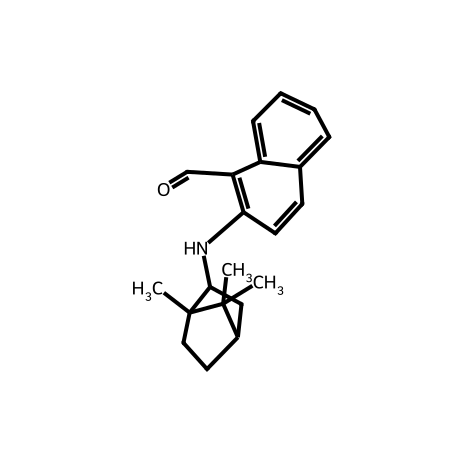 CC1(C)C2CCC1(C)C(Nc1ccc3ccccc3c1C=O)C2